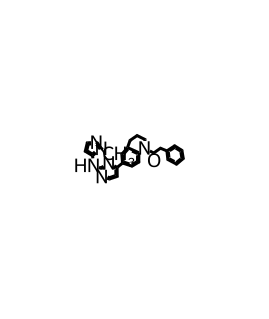 Cn1nccc1Nc1nccc(-c2ccc3c(c2)CCCN3C(=O)Cc2ccccc2)n1